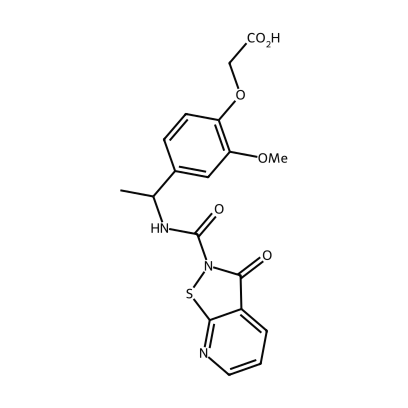 COc1cc(C(C)NC(=O)n2sc3ncccc3c2=O)ccc1OCC(=O)O